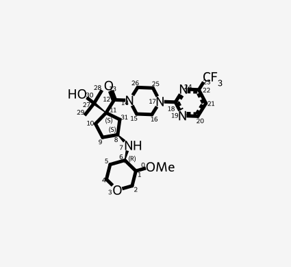 COC1COCC[C@H]1N[C@H]1CC[C@@](C(=O)N2CCN(c3nccc(C(F)(F)F)n3)CC2)(C(C)(C)O)C1